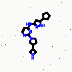 c1cc(Nc2cc(C3CCCC3)[nH]n2)nc(N2CCC(C3CNC3)C2)n1